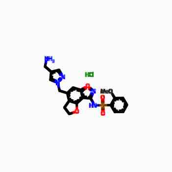 COc1ccccc1S(=O)(=O)Nc1noc2cc(Cn3cc(CN)cn3)c3c(c12)OCC3.Cl